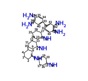 N=C1CCCCC1.N=C1CCCCC1.N=C1CCCCC1.N=C1CCCCC1.Nc1ccc(-c2ccc(N)c(N)c2)cc1N